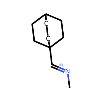 C/N=C/C12CCC(CC1)CC2